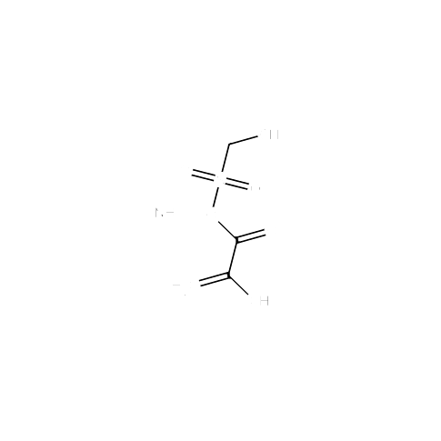 C=C(C)C(=O)OS(=O)(=O)CC.N